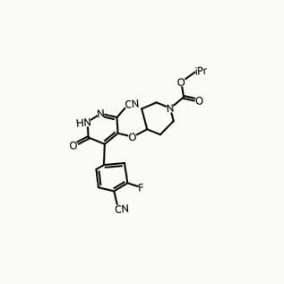 CC(C)OC(=O)N1CCC(Oc2c(C#N)n[nH]c(=O)c2-c2ccc(C#N)c(F)c2)CC1